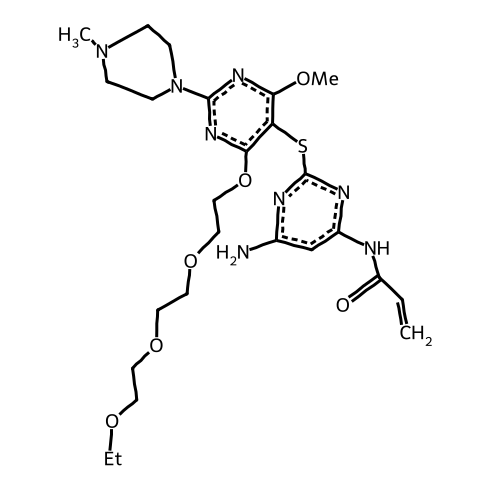 [CH2]COCCOCCOCCOc1nc(N2CCN(C)CC2)nc(OC)c1Sc1nc(N)cc(NC(=O)C=C)n1